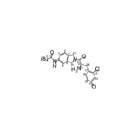 CCC(C)C(=O)Nc1ccc2c(c1)CN(C(=O)C(N)Cc1ccc(Cl)cc1Cl)C2